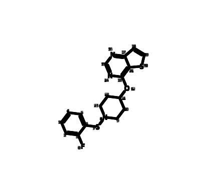 Fc1ccccc1SN1CCC(Oc2ncnc3ccsc23)CC1